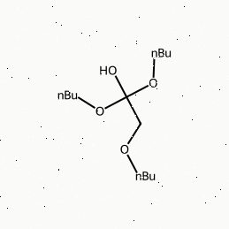 CCCCOCC(O)(OCCCC)OCCCC